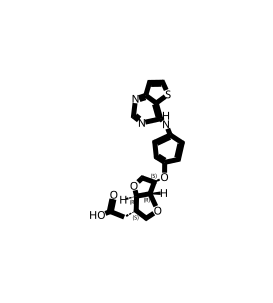 O=C(O)C[C@H]1CO[C@@H]2[C@@H]1OC[C@@H]2Oc1ccc(Nc2ncnc3ccsc23)cc1